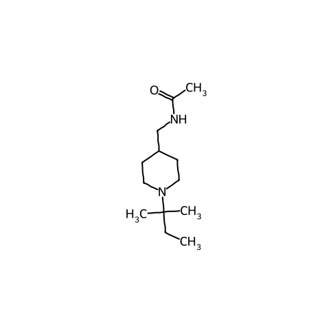 CCC(C)(C)N1CCC(CNC(C)=O)CC1